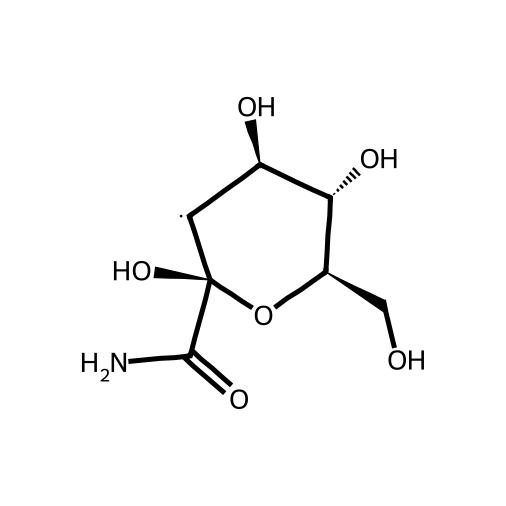 NC(=O)[C@]1(O)[CH][C@@H](O)[C@H](O)[C@@H](CO)O1